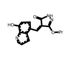 CC(C)OC1=NNC(=O)C1=Cc1ccc(O)c2ncccc12